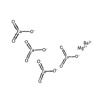 [Ba+2].[Mg+2].[O]=[Ta](=[O])[O-].[O]=[Ta](=[O])[O-].[O]=[Ta](=[O])[O-].[O]=[Ta](=[O])[O-]